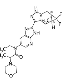 CCN(C(=O)C(C)N1CCOCC1)c1cnc2[nH]c(-c3n[nH]c4c3C[C@@H]3C(F)(F)[C@]3(C)C4)nc2c1